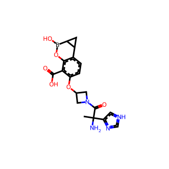 CC(N)(C(=O)N1CC(Oc2ccc3c(c2C(=O)O)OB(O)C2CC32)C1)c1c[nH]cn1